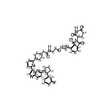 O=C(CN1CCN(c2cccc(-c3cnc4ccc(N5CCCC5c5cccc(F)c5)nn34)n2)CC1)NCCOCCNc1cccc2c1C(=O)N(C1CCC(=O)NC1=O)C2=O